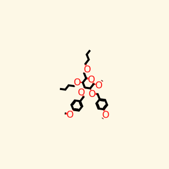 CCCCOCC1O[C@@H](OC)[C@@H](OCc2ccc(OC)cc2)C(OCc2ccc(OC)cc2)[C@H]1OCCCC